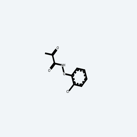 CC(=O)C(=O)NOc1ccccc1Cl